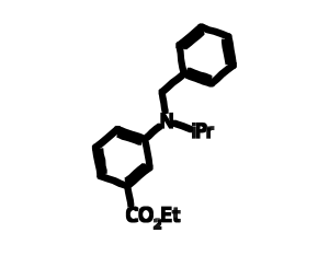 CCOC(=O)c1cccc(N(Cc2ccccc2)C(C)C)c1